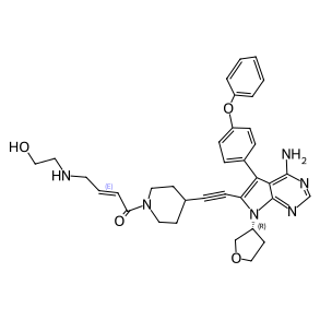 Nc1ncnc2c1c(-c1ccc(Oc3ccccc3)cc1)c(C#CC1CCN(C(=O)/C=C/CNCCO)CC1)n2[C@@H]1CCOC1